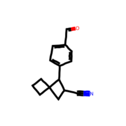 N#CC1CC2(CCC2)C1c1ccc(C=O)cc1